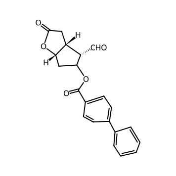 O=C[C@@H]1C(OC(=O)c2ccc(-c3ccccc3)cc2)C[C@@H]2OC(=O)C[C@@H]21